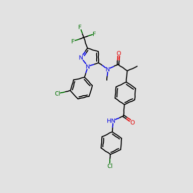 CC(C(=O)N(C)c1cc(C(F)(F)F)nn1-c1cccc(Cl)c1)c1ccc(C(=O)Nc2ccc(Cl)cc2)cc1